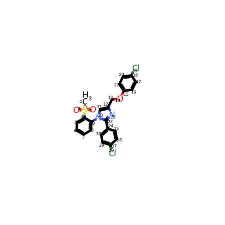 CS(=O)(=O)c1ccccc1-n1cc(COc2ccc(Cl)cc2)nc1-c1ccc(Cl)cc1